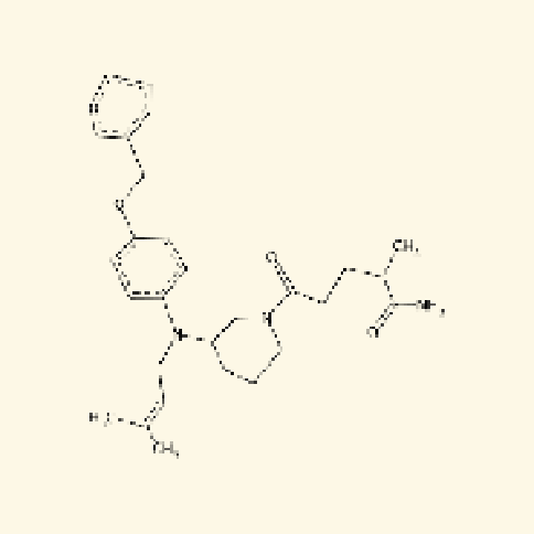 CC(C)=CCN(c1ccc(OCc2ccccc2)cc1)C1CCCN(C(=O)[CH]CC(C)C(N)=O)C1